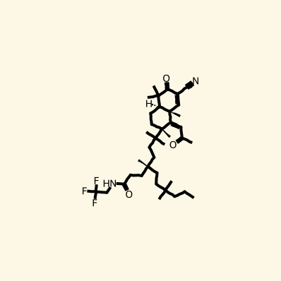 CCCC(C)(C)CC[C@](C)(CCC(=O)NCC(F)(F)F)CCC(C)(C)[C@]1(C)CC[C@H]2C(C)(C)C(=O)C(C#N)=C[C@]2(C)/C1=C/C(C)=O